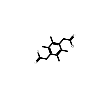 Cc1c(C)c(CC(=O)Cl)c(C)c(C)c1CC(=O)Cl